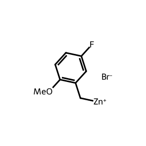 COc1ccc(F)cc1[CH2][Zn+].[Br-]